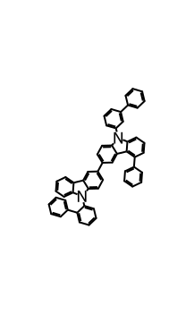 c1ccc(-c2cccc(-n3c4ccc(-c5ccc6c(c5)c5ccccc5n6-c5ccccc5-c5ccccc5)cc4c4c(-c5ccccc5)cccc43)c2)cc1